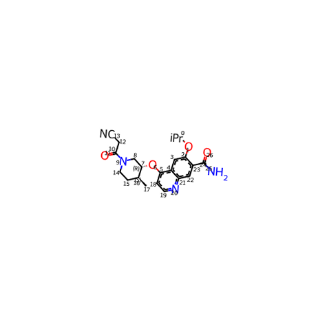 CC(C)Oc1cc2c(O[C@H]3CN(C(=O)CC#N)CC[C@@H]3C)ccnc2cc1C(N)=O